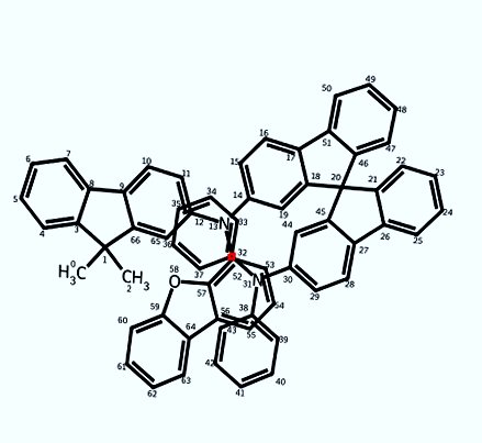 CC1(C)c2ccccc2-c2ccc(N(c3ccc4c(c3)C3(c5ccccc5-c5ccc(N(c6ccccc6)c6ccccc6)cc53)c3ccccc3-4)c3cccc4c3oc3ccccc34)cc21